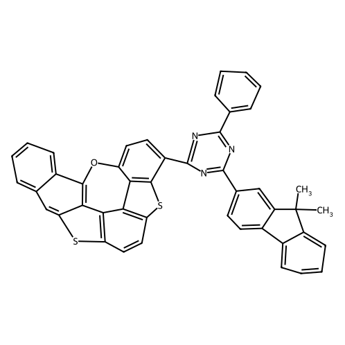 CC1(C)c2ccccc2-c2ccc(-c3nc(-c4ccccc4)nc(-c4ccc5oc6c7ccccc7cc7sc8ccc9sc4c5c9c8c76)n3)cc21